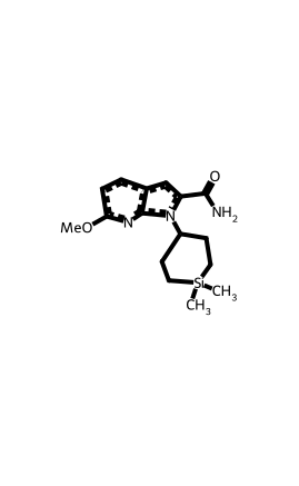 COc1ccc2cc(C(N)=O)n(C3CC[Si](C)(C)CC3)c2n1